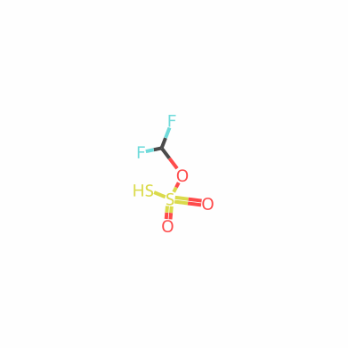 O=S(=O)(S)OC(F)F